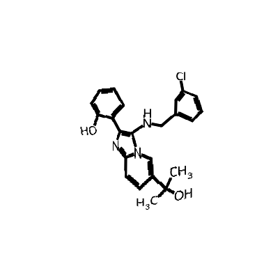 CC(C)(O)c1ccc2nc(-c3ccccc3O)c(NCc3cccc(Cl)c3)n2c1